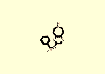 C[C@@H](Oc1cnc2c(n1)CCNCC2)c1ccccc1